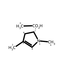 CC(=O)O.CC1=CN(C)CC1